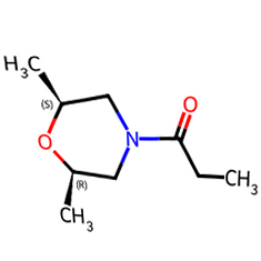 CCC(=O)N1C[C@@H](C)O[C@@H](C)C1